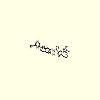 O=C(NCc1cc2nc(-c3cncc(C4CC4)n3)ccc2cn1)c1cc(F)c2c(c1)[C@](F)(C(F)F)COC2